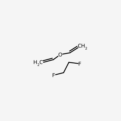 C=COC=C.FCCF